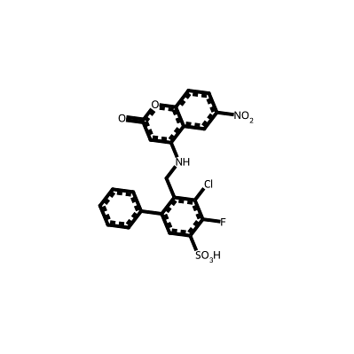 O=c1cc(NCc2c(-c3ccccc3)cc(S(=O)(=O)O)c(F)c2Cl)c2cc([N+](=O)[O-])ccc2o1